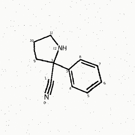 N#CC1(c2ccccc2)CCCN1